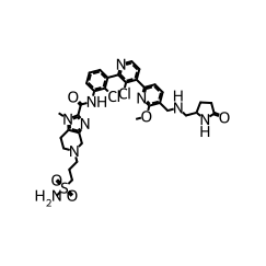 COc1nc(-c2ccnc(-c3cccc(NC(=O)c4nc5c(n4C)CCN(CCCS(N)(=O)=O)C5)c3Cl)c2Cl)ccc1CNCC1CCC(=O)N1